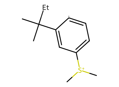 CCC(C)(C)c1[c]ccc([S+](C)C)c1